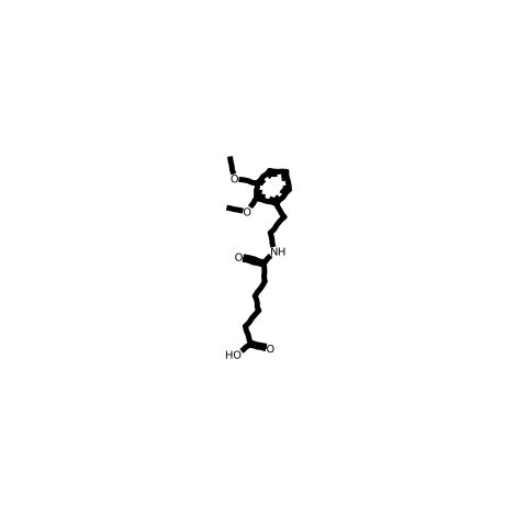 COc1cccc(CCNC(=O)CCCCC(=O)O)c1OC